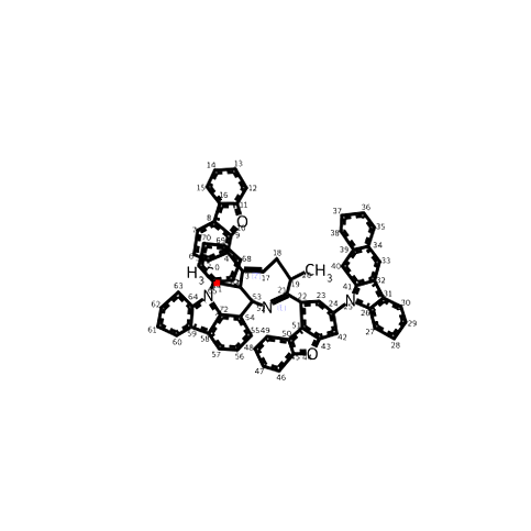 CCC1/C(c2cccc3c2oc2ccccc23)=C/CC(C)/C(c2cc(-n3c4ccccc4c4cc5ccccc5cc43)cc3oc4ccccc4c23)=N\C1c1cccc2c3ccccc3n(-c3ccccc3)c12